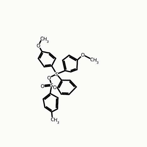 COc1ccc(S(OS(=O)(=O)c2ccc(C)cc2)(c2ccccc2)c2ccc(OC)cc2)cc1